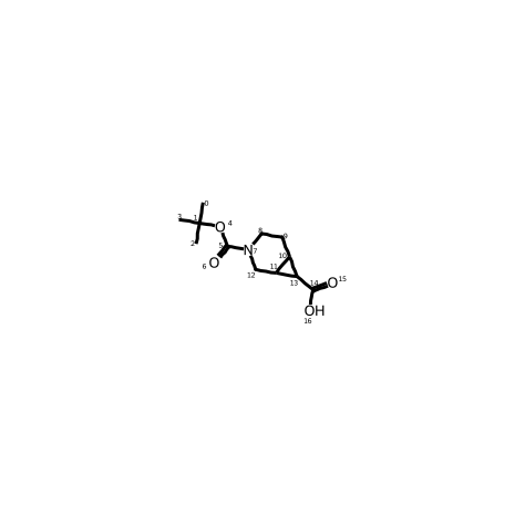 CC(C)(C)OC(=O)N1CCC2C(C1)C2C(=O)O